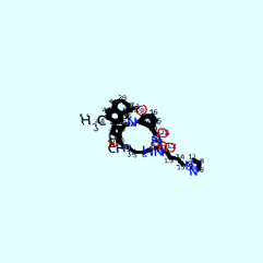 CO[C@H]1/C=C/CCC[S@@](=O)(NC(=O)CCCn2cccn2)=NC(=O)c2ccc3c(c2)N(C[C@@H]2CC[C@H]21)C[C@@]1(CCCc2cc(C)ccc21)CO3